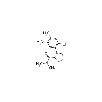 Cc1cc(Cl)c(N2CCCC2C(=O)N(C)C)cc1N